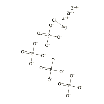 O=P([O-])([O-])[O-].O=P([O-])([O-])[O-].O=P([O-])([O-])[O-].O=P([O-])([O-])[O-].[Cl][Ag].[Zr+4].[Zr+4].[Zr+4]